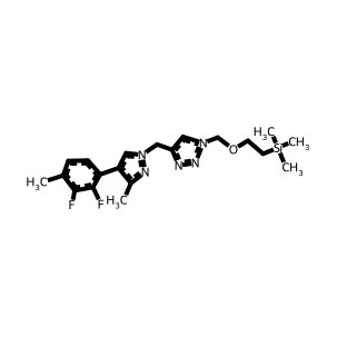 Cc1ccc(-c2cn(Cc3cn(COCC[Si](C)(C)C)nn3)nc2C)c(F)c1F